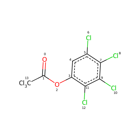 O=C(Oc1cc(Cl)c(Cl)c(Cl)c1Cl)C(Cl)(Cl)Cl